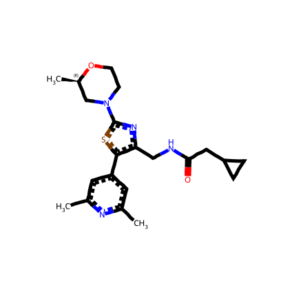 Cc1cc(-c2sc(N3CCO[C@H](C)C3)nc2CNC(=O)CC2CC2)cc(C)n1